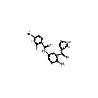 N#Cc1ccc(C(=O)Nc2ccc(N)c(C(=N)c3ccoc3)c2)c(F)c1